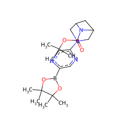 CC(C)(C)OC(=O)N1C2CC1CN(c1cnc(B3OC(C)(C)C(C)(C)O3)cn1)C2